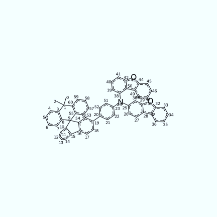 CC1(C)c2ccccc2C2(c3ccccc3-c3ccc(-c4ccc(N(c5ccc6c(c5)oc5ccccc56)c5cccc6oc7ccccc7c56)cc4)cc32)c2ccccc21